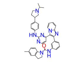 Cc1ccc2c(c1)CCN2C(=O)Nc1cccc(-c2nc3ccccn3c2-c2ccnc(Nc3ccc(C4CCN(C(C)C)C4)cc3)n2)c1